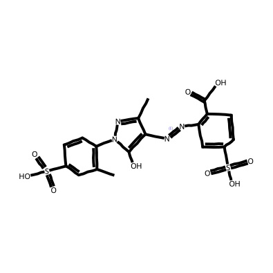 Cc1cc(S(=O)(=O)O)ccc1-n1nc(C)c(/N=N/c2cc(S(=O)(=O)O)ccc2C(=O)O)c1O